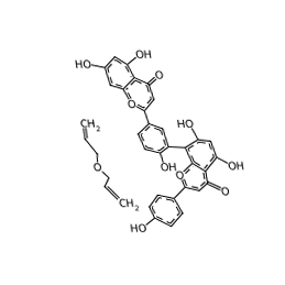 C=CCOCC=C.O=c1cc(-c2ccc(O)c(-c3c(O)cc(O)c4c(=O)cc(-c5ccc(O)cc5)oc34)c2)oc2cc(O)cc(O)c12